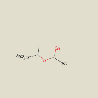 CCC(O)OC(C)S(=O)(=O)O